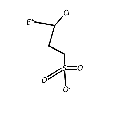 CCC(Cl)CCS([O])(=O)=O